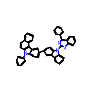 c1ccc(-c2nc(-n3c4ccccc4c4cc(-c5ccc6c(c5)c5c7ccccc7ccc5n6-c5ccccc5)ccc43)nc3ccccc23)cc1